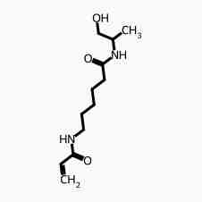 C=CC(=O)NCCCCCC(=O)NC(C)CO